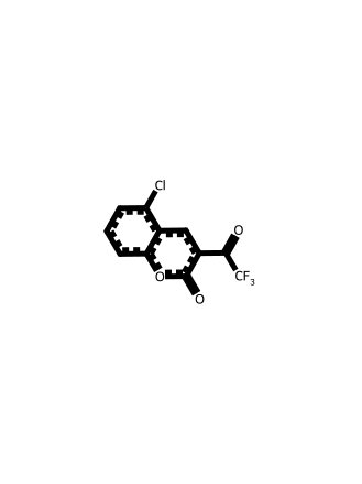 O=C(c1cc2c(Cl)cccc2oc1=O)C(F)(F)F